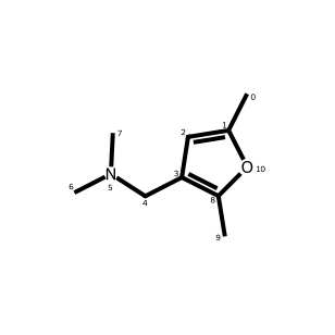 Cc1cc(CN(C)C)c(C)o1